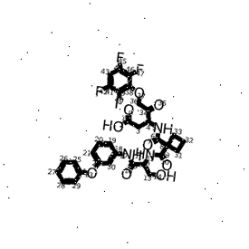 O=C(O)CC(NC(=O)C1(C(=O)NC(CO)C(=O)Nc2cccc(Oc3ccccc3)c2)CCC1)C(=O)COc1c(F)c(F)cc(F)c1F